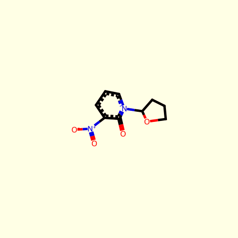 O=c1c([N+](=O)[O-])cccn1C1CCCO1